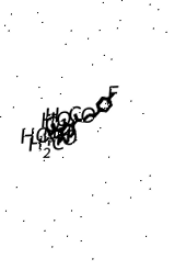 C=N/C(C(=O)NO)=C(O)\C(CO)=C(/C)COCc1ccc(F)cc1